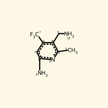 Cc1nc(N)cc(C(F)(F)F)c1CN